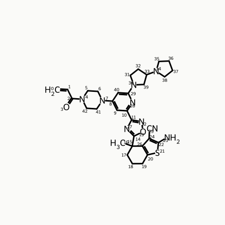 C=CC(=O)N1CCN(c2cc(-c3noc(C4(C)CCCc5sc(N)c(C#N)c54)n3)nc(N3CCC(N4CCCC4)C3)c2)CC1